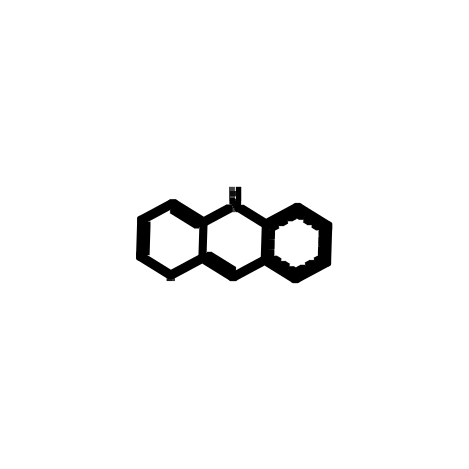 [C]1C=CC=C2Nc3ccccc3C=C12